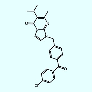 Cc1nc2n(Cc3ccc(C(=O)c4ccc(Cl)cc4)cc3)ccn2c(=O)c1C(C)C